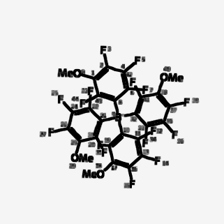 COc1c(F)c(F)c(F)c([B-](c2c(F)c(F)c(F)c(OC)c2F)(c2c(F)c(F)c(F)c(OC)c2F)c2c(F)c(F)c(F)c(OC)c2F)c1F